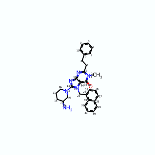 Cn1c(CCc2ccccc2)nc2nc(N3CCCC(N)C3)n(Cc3cccc4ccccc34)c2c1=O